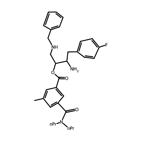 CCCN(CCC)C(=O)c1cc(C)cc(C(=O)OC(CNCc2ccccc2)C(N)Cc2ccc(F)cc2)c1